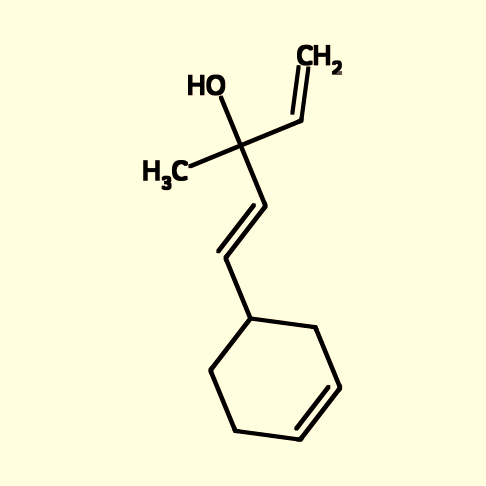 C=CC(C)(O)C=CC1CC=CCC1